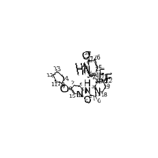 CC(C(=O)Nc1ccc(OC2CCCC2)cn1)N1CCC(F)(F)[C@@H](c2ccc(=O)[nH]c2)C1